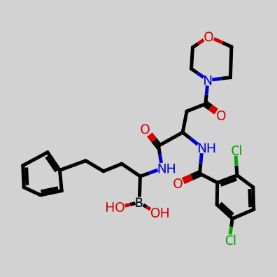 O=C(NC(CC(=O)N1CCOCC1)C(=O)NC(CCCc1ccccc1)B(O)O)c1cc(Cl)ccc1Cl